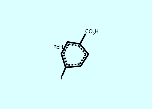 O=C(O)c1ccc(I)cc1.[PbH2]